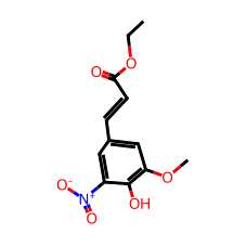 CCOC(=O)/C=C/c1cc(OC)c(O)c([N+](=O)[O-])c1